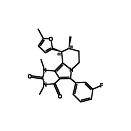 Cc1ccc([C@@H]2c3c4c(c(-c5cccc(F)c5)n3CC[C@@H]2C)c(=O)n(C)c(=O)n4C)o1